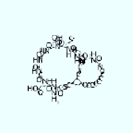 CSCC[C@@H]1NC(=O)[C@@H]2CCCN2C(=O)[C@@H]2CSCc3cc(cc(c3)OCCCCCCO/N=C/C(=O)N[C@@H](C)C(=O)N2)CSC[C@@H](C(N)=O)NC(=O)[C@H](CCC(=O)O)NC(=O)CNC(=O)[C@H](C)NC(=O)C(C(C)C)NC(=O)[C@H](CC(=O)O)NC1=O